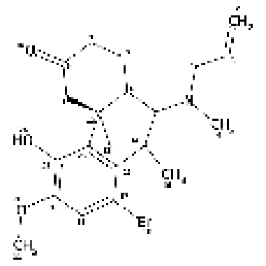 C=CCN(C)C1C2CCC(=O)C[C@]23CC1(C)c1c(Br)cc(OC)c(O)c13